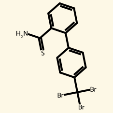 NC(=S)c1ccccc1-c1ccc(C(Br)(Br)Br)cc1